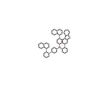 c1ccc(-c2cccc3ccccc23)c(-c2ccc(N(c3ccc(-c4cccc5ccccc45)cc3)c3ccccc3-c3ccc4c(c3)sc3ccccc34)cc2)c1